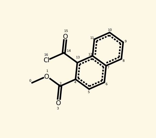 COC(=O)c1ccc2ccccc2c1C(=O)Cl